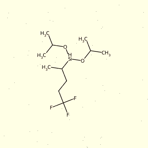 CC(C)O[SiH](OC(C)C)C(C)CCC(F)(F)F